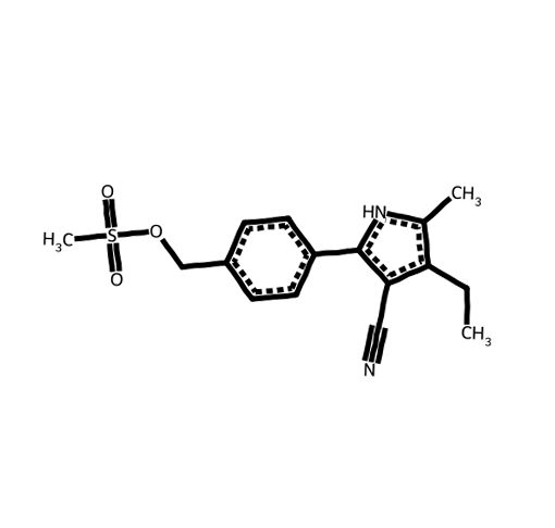 CCc1c(C)[nH]c(-c2ccc(COS(C)(=O)=O)cc2)c1C#N